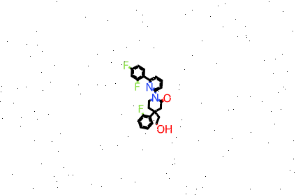 O=C1CC(CCO)(c2ccccc2F)CCN1c1cccc(-c2ccc(F)cc2F)n1